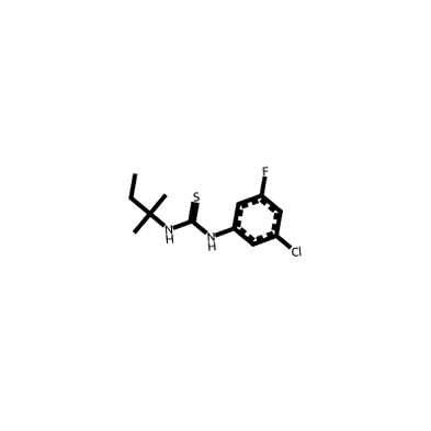 CCC(C)(C)NC(=S)Nc1cc(F)cc(Cl)c1